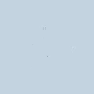 CC1OC(CO)C(O)C1F